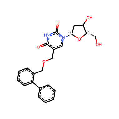 O=c1[nH]c(=O)n([C@@H]2CC(O)[C@H](CO)O2)cc1COCc1ccccc1-c1ccccc1